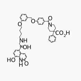 O=C(c1ccc(OCc2cccc(OCCCCNC[C@H](O)c3ccc(O)c4[nH]c(=O)ccc34)c2)cc1)N1CCC(C(=O)O)(c2ccccc2)CC1